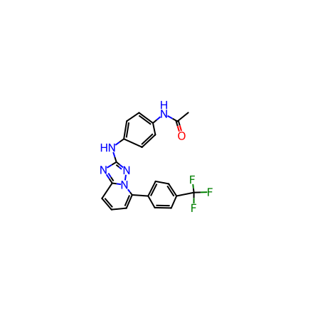 CC(=O)Nc1ccc(Nc2nc3cccc(-c4ccc(C(F)(F)F)cc4)n3n2)cc1